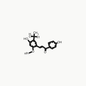 CCCOc1cc(O)c(C(C)(C)CC)cc1C=CC(=O)c1ccc(O)cc1